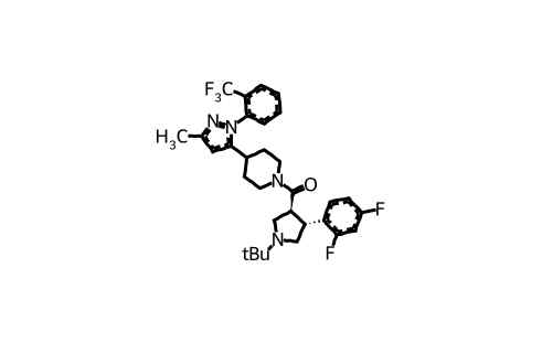 Cc1cc(C2CCN(C(=O)[C@@H]3CN(C(C)(C)C)C[C@H]3c3ccc(F)cc3F)CC2)n(-c2ccccc2C(F)(F)F)n1